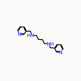 c1cncc(CNCCCCNCc2cccnc2)c1